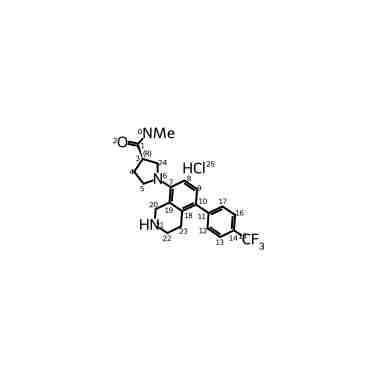 CNC(=O)[C@@H]1CCN(c2ccc(-c3ccc(C(F)(F)F)cc3)c3c2CNCC3)C1.Cl